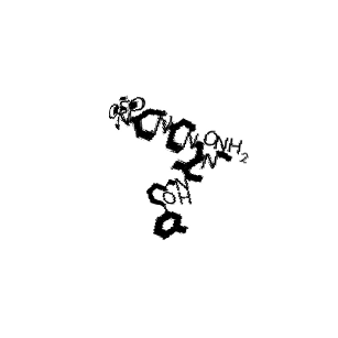 C=C(NC[C@@H]1CCC[C@H](c2cccc(C)c2)O1)/C(C)=C(\N=C(\C)N)C(=O)N1CCC(N2CCC(N(C)S(C)(=O)=O)CC2)CC1